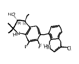 C[C@H]1c2cc(-c3cccc4c(Cl)c[nH]c34)c(F)c(F)c2NC(C)(C)[C@@H]1O